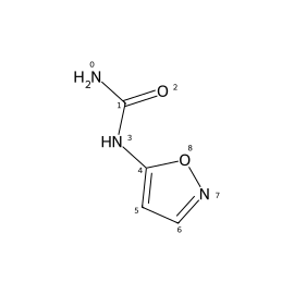 NC(=O)Nc1ccno1